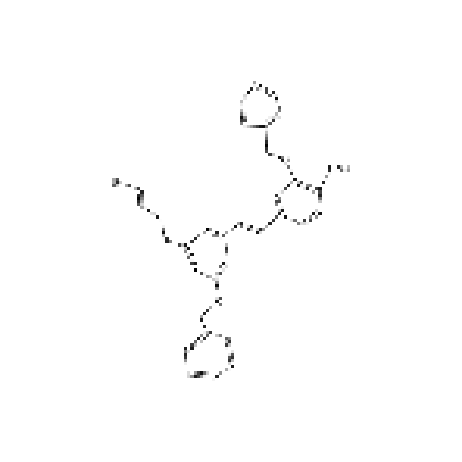 CC/C=C/COc1cc(/C=C/c2ccc(OC)c(OCc3ccccc3)c2)cc(OCc2ccccc2)c1